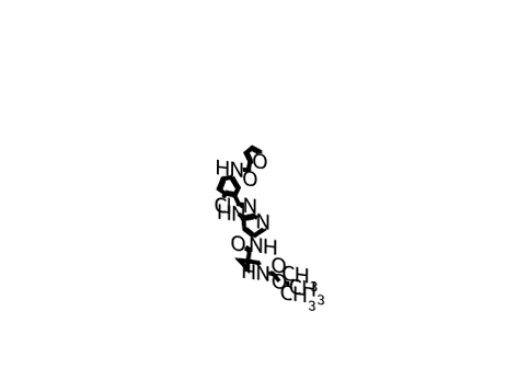 CC(C)(C)OC(=O)NCC1(C(=O)Nc2cnc3nc(-c4cc(NC(=O)c5ccco5)ccc4Cl)[nH]c3c2)CC1